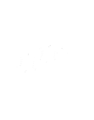 C=C[C]c1ccc(-c2ccccc2)cc1